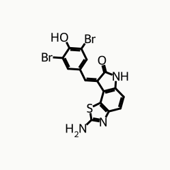 Nc1nc2ccc3c(c2s1)C(=Cc1cc(Br)c(O)c(Br)c1)C(=O)N3